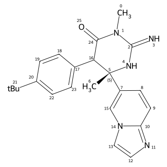 CN1C(=N)N[C@](C)(c2ccc3nccn3c2)C(c2ccc(C(C)(C)C)cc2)C1=O